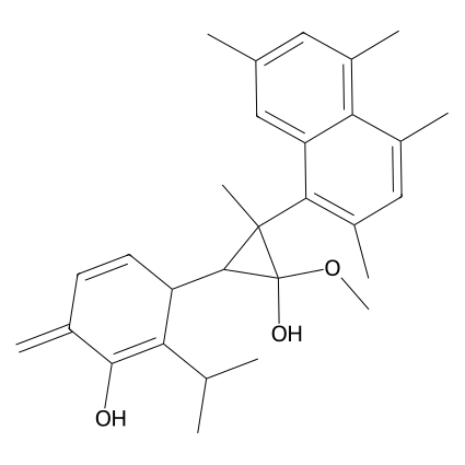 C=C1C=CC(C2C(O)(OC)C2(C)c2c(C)cc(C)c3c(C)cc(C)cc23)C(C(C)C)=C1O